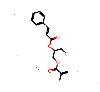 C=C(C)C(=O)OCC(CCl)OC(=O)C=Cc1ccccc1